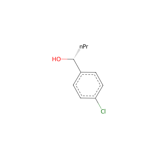 CCC[C@@H](O)c1ccc(Cl)cc1